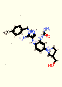 Cc1ccc(Cn2ncc(/N=C3C=C/C(=[N+]4/CCC(CO)C4)C=C/3NC(N)=O)c2N)cc1